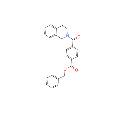 O=C(OCc1ccccc1)c1ccc(C(=O)N2CCc3ccccc3C2)cc1